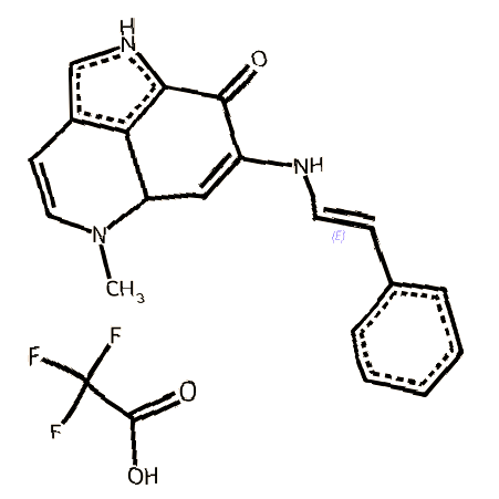 CN1C=Cc2c[nH]c3c2C1C=C(N/C=C/c1ccccc1)C3=O.O=C(O)C(F)(F)F